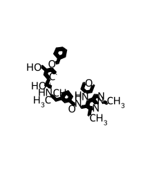 CCc1nc2c(cnn2CC)c(NC2CCOCC2)c1CNC(=O)c1cccc(CC(C)(C)NC[C@H](O)c2ccc(OCc3ccccc3)c(CO)c2)c1